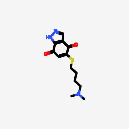 CN(C)CCCCSC1=CC(=O)c2[nH]ncc2C1=O